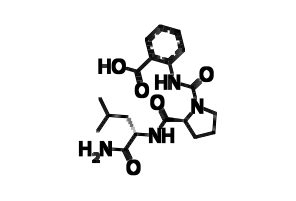 CC(C)C[C@H](NC(=O)[C@@H]1CCCN1C(=O)Nc1ccccc1C(=O)O)C(N)=O